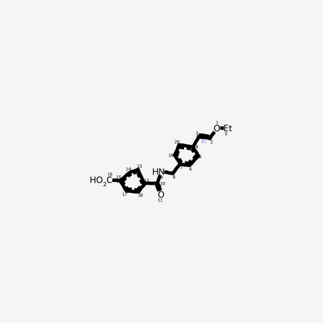 CCO/C=C/c1ccc(CNC(=O)c2ccc(C(=O)O)cc2)cc1